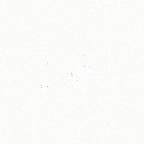 Cc1coc(N(C)C)c1C(=O)O